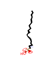 CCCCCCCCCCCCC/C=C/CS(=O)(=O)O